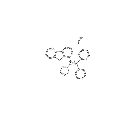 C1=CC[C]([Zr+2](=[C](c2ccccc2)c2ccccc2)[c]2cccc3c2Cc2ccccc2-3)=C1.[F-].[F-]